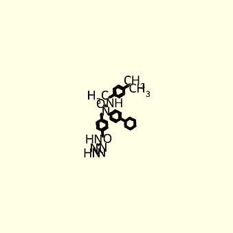 CC(C)c1ccc(C(C)NC(=O)N(Cc2ccc(C(=O)Nc3nn[nH]n3)cc2)c2ccc(C3CCCCC3)cc2)cc1